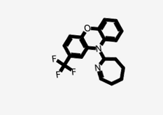 FC(F)(F)c1ccc2c(c1)N(C1CCCCC=N1)c1ccccc1O2